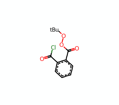 CC(C)(C)OOC(=O)c1ccccc1C(=O)Cl